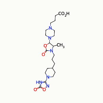 CC1C(N2CCN(CCCC(=O)O)CC2)OC(=O)N1CCCC1CCN(c2noc(=O)[nH]2)CC1